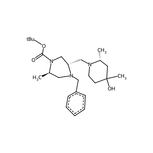 C[C@@H]1CC(C)(O)CCN1C[C@H]1CN(C(=O)OC(C)(C)C)[C@H](C)CN1Cc1ccccc1